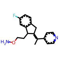 C/C(=C1/Cc2ccc(F)cc2C1CCON)c1ccncc1